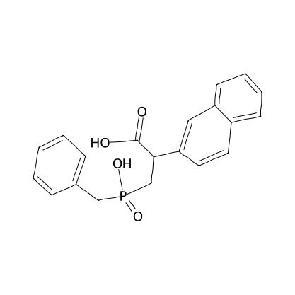 O=C(O)C(CP(=O)(O)Cc1ccccc1)c1ccc2ccccc2c1